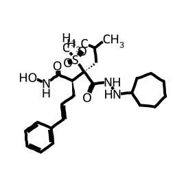 CC(C)C[C@](C(=O)NNC1CCCCCC1)([C@@H](CC=Cc1ccccc1)C(=O)NO)S(C)(=O)=O